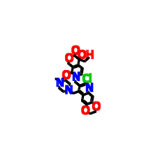 CCC1(O)C(=O)OCc2c1ccn(Cc1c(Cl)nc3cc4c(cc3c1CN1CCN(C)CC1)OCCO4)c2=O